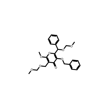 COCOCc1c(OC)oc(C(OCOC)c2ccccc2)c(OCc2ccccc2)c1=O